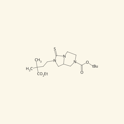 CCOC(=O)C(C)(C)CCN1CC2CN(C(=O)OC(C)(C)C)CCN2C1=S